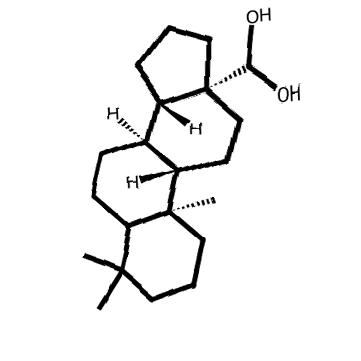 CC1(C)CCC[C@@]2(C)C1CC[C@H]1[C@@H]3CCC[C@@]3(C(O)O)CC[C@@H]12